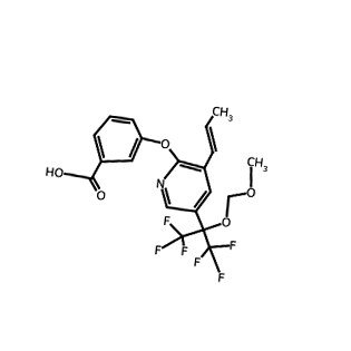 C/C=C/c1cc(C(OCOC)(C(F)(F)F)C(F)(F)F)cnc1Oc1cccc(C(=O)O)c1